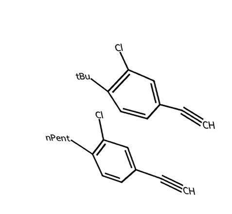 C#Cc1ccc(C(C)(C)C)c(Cl)c1.C#Cc1ccc(CCCCC)c(Cl)c1